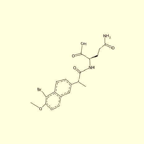 COc1ccc2cc(C(C)C(=O)N[C@H](CCC(N)=O)C(=O)O)ccc2c1Br